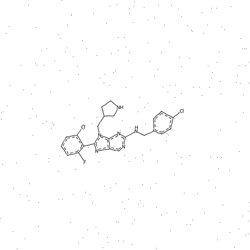 Fc1cccc(Cl)c1-c1nc2cnc(NCc3ccc(Cl)cc3)nc2n1CC1CCNC1